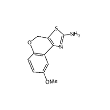 COc1ccc2c(c1)-c1nc(N)sc1CO2